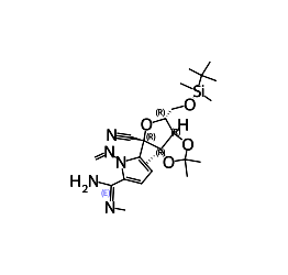 C=Nn1c(/C(N)=N\C)ccc1[C@]1(C#N)O[C@H](CO[Si](C)(C)C(C)(C)C)[C@H]2OC(C)(C)O[C@]21C